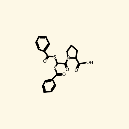 O=C(SC(SC(=O)c1ccccc1)C(=O)N1CCCC1C(=O)O)c1ccccc1